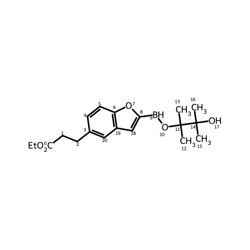 CCOC(=O)CCc1ccc2oc(BOC(C)(C)C(C)(C)O)cc2c1